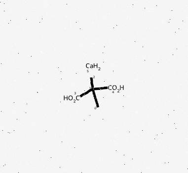 CC(C)(C(=O)O)C(=O)O.[CaH2]